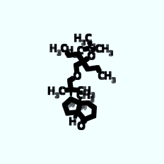 CCCC(CCC)(COCC(C)(C)[C@H]1CC[C@H]2C(=O)CCC[C@]12C)O[Si](C)(C)C